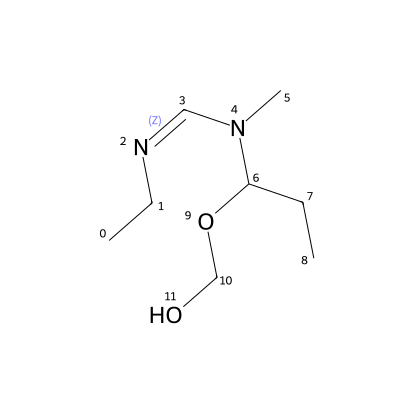 CC/N=C\N(C)C(CC)OCO